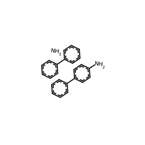 N.Nc1ccc(-c2ccccc2)cc1.c1ccc(-c2ccccc2)cc1